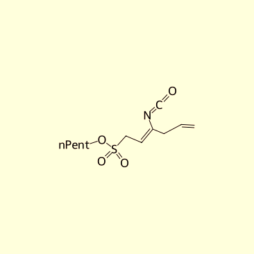 C=CCC(=CCS(=O)(=O)OCCCCC)N=C=O